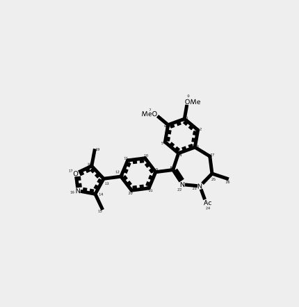 COc1cc2c(cc1OC)C(c1ccc(-c3c(C)noc3C)cc1)=NN(C(C)=O)C(C)C2